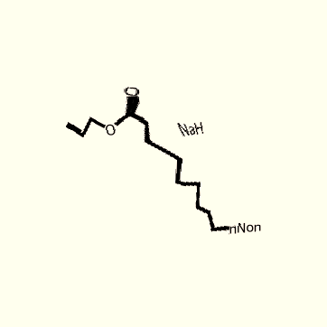 C=CCOC(=O)CCCCCCCCCCCCCCCCC.[NaH]